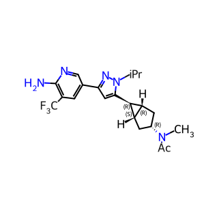 CC(=O)N(C)[C@H]1C[C@@H]2[C@H](C1)[C@H]2c1cc(-c2cnc(N)c(C(F)(F)F)c2)nn1C(C)C